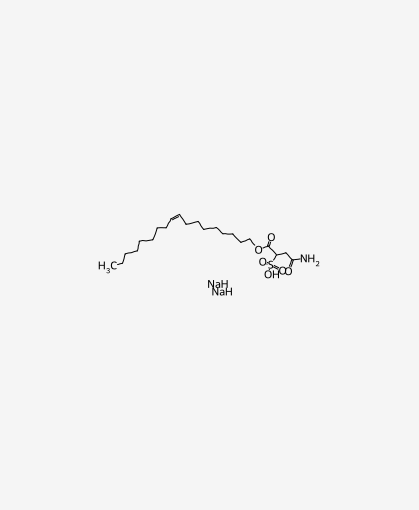 CCCCCCCC/C=C\CCCCCCCCOC(=O)C(CC(N)=O)S(=O)(=O)O.[NaH].[NaH]